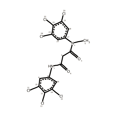 CN(C(=O)CC(=O)Nc1cc(Cl)c(Cl)c(Cl)c1)c1cc(Cl)c(Cl)c(Cl)c1